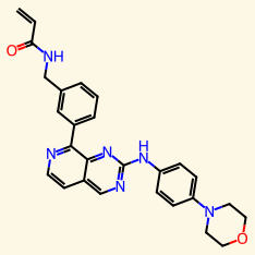 C=CC(=O)NCc1cccc(-c2nccc3cnc(Nc4ccc(N5CCOCC5)cc4)nc23)c1